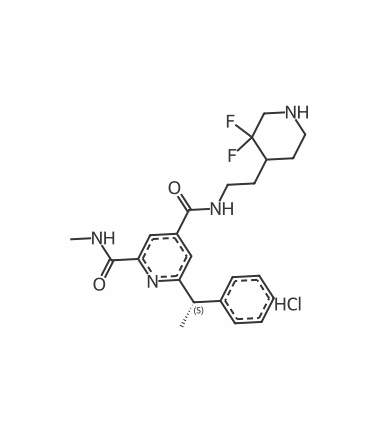 CNC(=O)c1cc(C(=O)NCCC2CCNCC2(F)F)cc([C@@H](C)c2ccccc2)n1.Cl